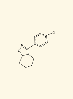 Clc1ccc(C2=NOC3CCCCC23)cc1